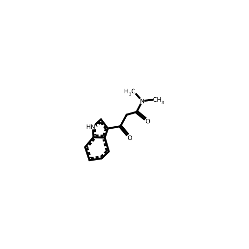 CN(C)C(=O)CC(=O)c1c[nH]c2ccccc12